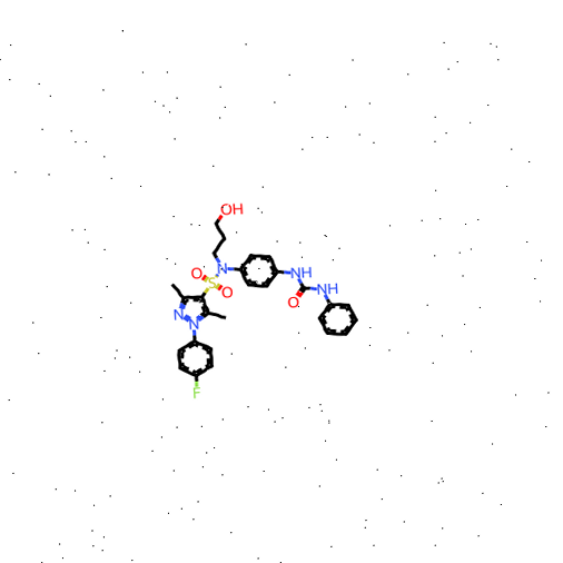 Cc1nn(-c2ccc(F)cc2)c(C)c1S(=O)(=O)N(CCCO)c1ccc(NC(=O)Nc2ccccc2)cc1